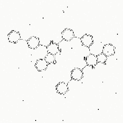 c1ccc(-c2ccc(-c3nc(-c4cccc(-c5cccc(-c6nc(-c7ccc(-c8ccccc8)cc7)c7c(n6)oc6ccccc67)c5)c4)c4c(n3)sc3ccccc34)cc2)cc1